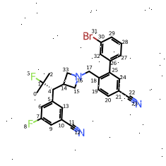 CC(C)(F)[C@@H](c1cc(F)cc(C#N)c1)C1CN(Cc2ccc(C#N)cc2-c2cccc(Br)c2)C1